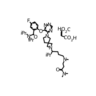 CC(C)C(CCCN(C)CCC(=O)N(C)C)N1CC2(CCN(c3ncnnc3Oc3ccc(F)cc3C(=O)N(C(C)C)C(C)C)C2)C1.O=C(O)/C=C/C(=O)O